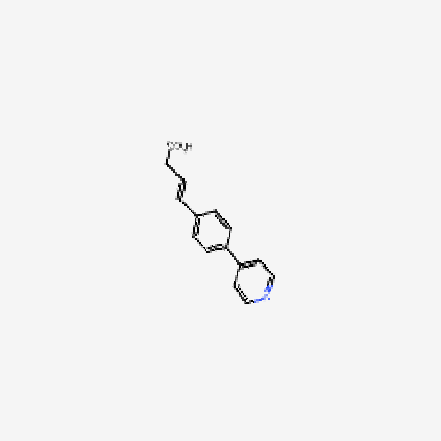 O=C(O)CC=Cc1ccc(-c2ccncc2)cc1